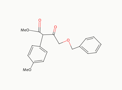 COC(=O)C(C(=O)COCc1ccccc1)c1ccc(OC)cc1